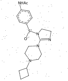 CC(=O)Nc1ccc([S+]([O-])N2CCN=C2N2CCN(C3CCC3)CC2)cc1